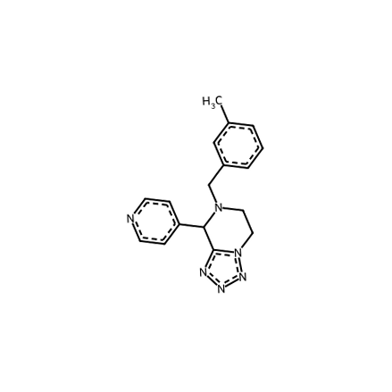 Cc1cccc(CN2CCn3nnnc3C2c2ccncc2)c1